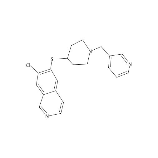 Clc1cc2cnccc2cc1SC1CCN(Cc2cccnc2)CC1